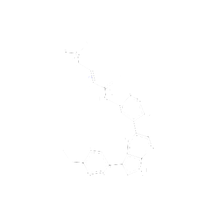 COc1ccc(-c2c[nH]c3ncc(-c4cncc(NC(=O)/C=C/CN(C)C)c4)cc23)cn1